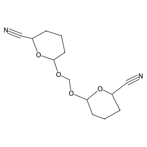 N#CC1CCCC(OCOC2CCCC(C#N)O2)O1